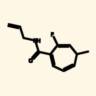 C=CCNC(=O)C1=CC=CC(C)C=C1F